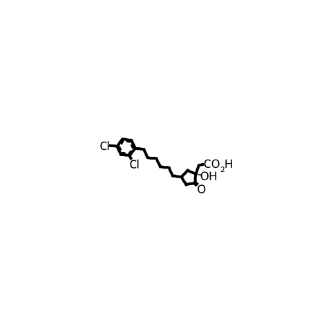 O=C(O)C[C@]1(O)CC(CCCCCCc2ccc(Cl)cc2Cl)CC1=O